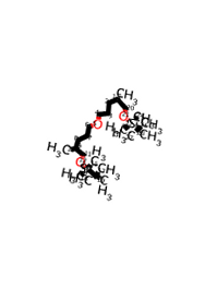 CC(CCCOCCCC(C)CO[Si](C)(C)C(C)(C)C)CO[Si](C)(C)C(C)(C)C